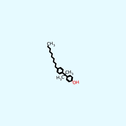 CCCCCCCCCCc1ccc(C(C)(C)c2ccc(O)cc2)cc1